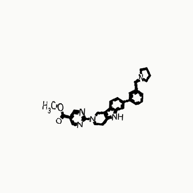 COC(=O)c1cnc(N2CCc3[nH]c4cc(-c5cccc(CN6CCCC6)c5)ccc4c3C2)nc1